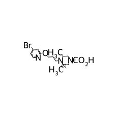 CC1CN(C(=O)O)C[C@H](C)N1CCCOc1cc(Br)ccn1